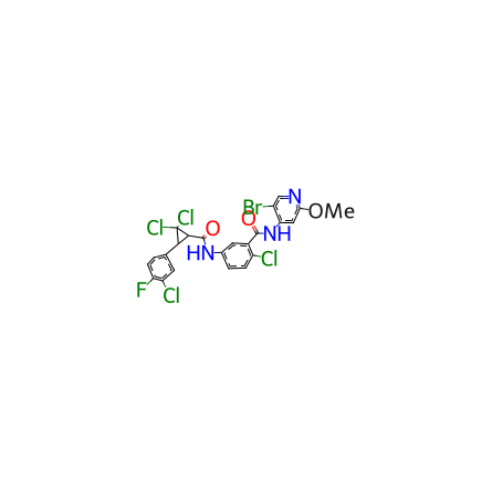 COc1cc(NC(=O)c2cc(NC(=O)C3C(c4ccc(F)c(Cl)c4)C3(Cl)Cl)ccc2Cl)c(Br)cn1